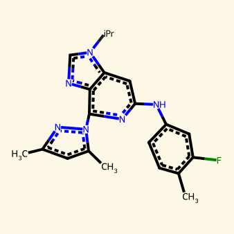 Cc1cc(C)n(-c2nc(Nc3ccc(C)c(F)c3)cc3c2ncn3C(C)C)n1